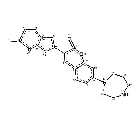 Cc1ccn2cc(-c3cc4ccc(N5CCCNCC5)cc4oc3=O)nc2n1